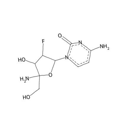 Nc1ccn(C2OC(N)(CO)C(O)C2F)c(=O)n1